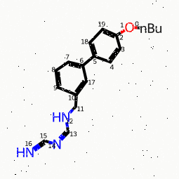 CCCCOc1ccc(-c2cccc(CN/C=N\C=N)c2)cc1